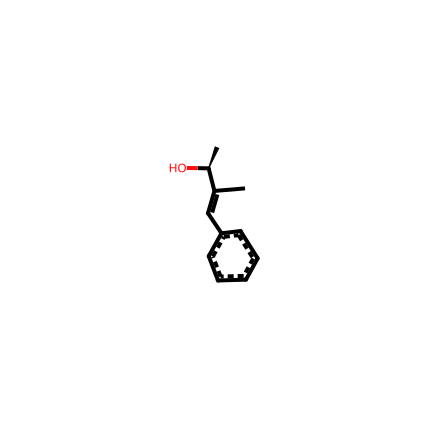 C/C(=C\c1ccccc1)[C@H](C)O